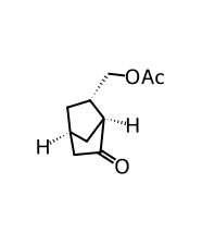 CC(=O)OC[C@H]1C[C@@H]2CC(=O)[C@H]1C2